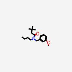 CCCCN(Cc1cccc(OC)c1)C(=O)CC(C)(C)C